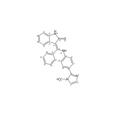 Cn1ccnc1-c1ccc(N/C(=C2\C(=O)Nc3ccccc32)c2ccccc2)cc1